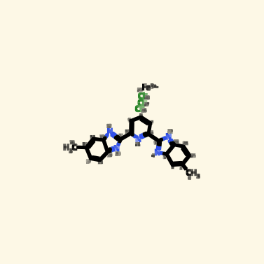 CC1=CC2N=C(c3cccc(C4=NC5C=C(C)C=CC5=N4)n3)N=C2C=C1.[Cl-].[Cl-].[Cl-].[Fe+3]